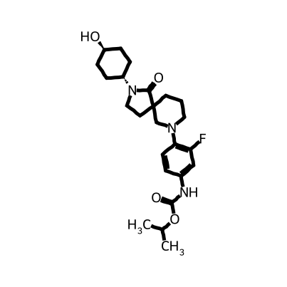 CC(C)OC(=O)Nc1ccc(N2CCCC3(CCN([C@H]4CC[C@H](O)CC4)C3=O)C2)c(F)c1